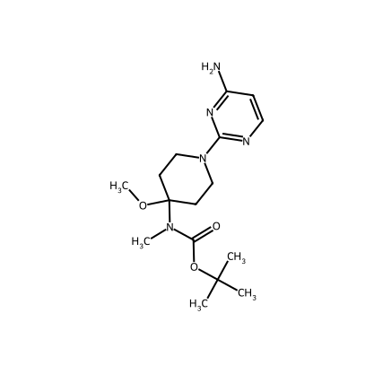 COC1(N(C)C(=O)OC(C)(C)C)CCN(c2nccc(N)n2)CC1